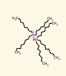 CCCCCCCC[PH](CCCCCCCC)(CCCCCCCC)S[PH](CCCCCCCC)(CCCCCCCC)CCCCCCCC